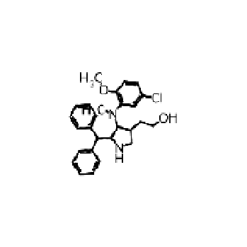 COc1ccc(Cl)cc1N(C)C1C(CCO)CNC1C(c1ccccc1)c1ccccc1